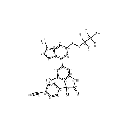 Cn1ncc2c(-c3nc(N)c4c(n3)NC(=O)C4(C)c3ccc(C#N)cc3)nc(CCC(F)(F)C(F)(F)F)nc21